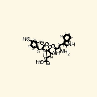 N[C@@H](Cc1c[nH]c2ccccc12)C(=O)N[C@@H](CCC(=O)O)C(=O)N[C@@H](Cc1ccc(O)cc1)C(=O)O